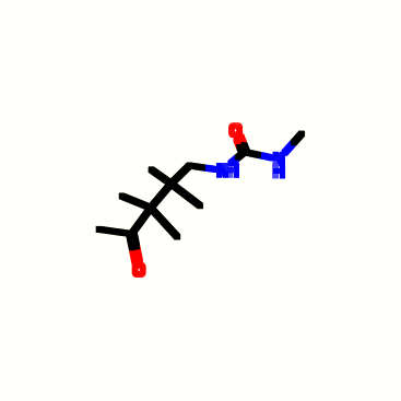 CNC(=O)NCC(C)(C)C(C)(C)C(C)=O